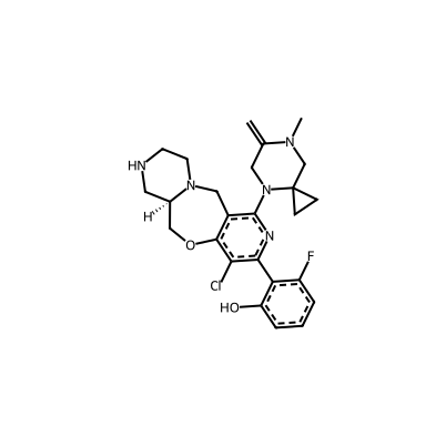 C=C1CN(c2nc(-c3c(O)cccc3F)c(Cl)c3c2CN2CCNC[C@@H]2CO3)C2(CC2)CN1C